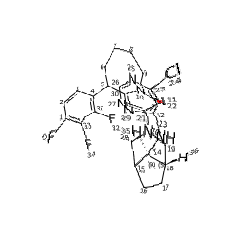 Fc1ccc(C2CCCCn3nc(N[C@@H]4C5CC[C@H]4CN(c4cc(Cl)ncn4)C5)nc32)c(F)c1F